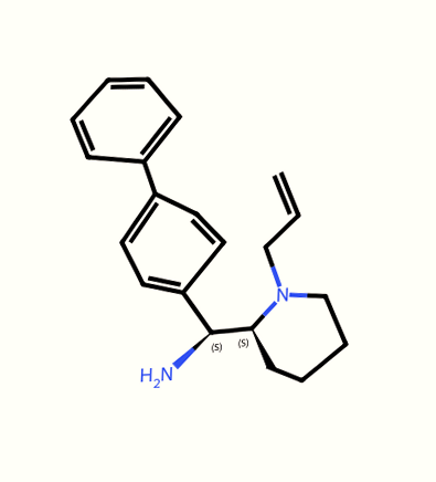 C=CCN1CCCC[C@H]1[C@@H](N)c1ccc(-c2ccccc2)cc1